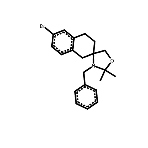 CC1(C)OCC2(CCc3cc(Br)ccc3C2)N1Cc1ccccc1